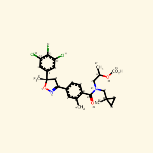 Cc1cc(C2=NO[C@@](c3cc(Cl)c(F)c(Cl)c3)(C(F)(F)F)C2)ccc1C(=O)N(CC(C)OC(=O)O)CC1(C#N)CC1